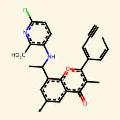 C#C/C=C(\C=C/C)c1oc2c(C(C)Nc3ccc(Cl)nc3C(=O)O)cc(C)cc2c(=O)c1C